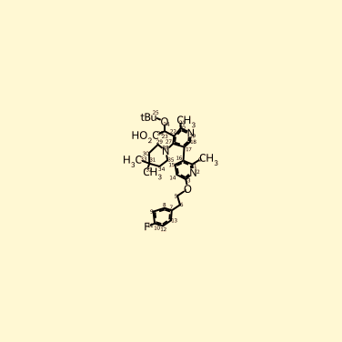 Cc1nc(OCCc2ccc(F)cc2)ccc1-c1cnc(C)c(C(OC(C)(C)C)C(=O)O)c1N1CCC(C)(C)CC1